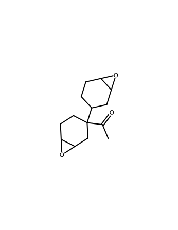 CC(=O)C1(C2CCC3OC3C2)CCC2OC2C1